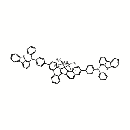 C[Si](C)(C)C1([Si](C)(C)C)c2c(ccc3cc(-c4ccc(N(c5ccccc5)c5cccc6c5sc5ccccc56)cc4)ccc23)-c2c1c1ccc(-c3ccc(N(c4ccccc4)c4cccc5c4sc4ccccc45)cc3)cc1c1ccccc21